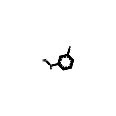 Fc1cccc(NS)c1